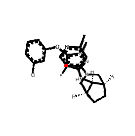 Cc1cc(N2C[C@H]3CC[C@@H](C2)[C@H]3Nc2nc(Oc3cccc(Cl)c3)n(C)n2)c(F)cn1